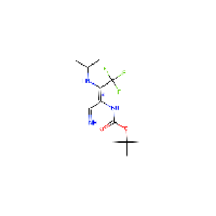 CC(C)N/C(=C(\C=N)NC(=O)OC(C)(C)C)C(F)(F)F